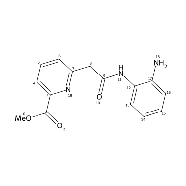 COC(=O)c1cccc(CC(=O)Nc2ccccc2N)n1